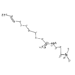 CC/C=C/CCCCCCCC(=O)NCCCN(C)C